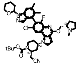 Cc1cc2c(cnn2C2CCCCO2)c(-c2c(Cl)cc3c(nc(OC[C@@H]4CCCN4C)c4ccn([C@H]5CCN(C(=O)OC(C)(C)C)[C@H](CC#N)C5)c43)c2F)c1C